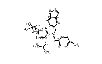 Cc1cnc(CN(Cc2ccc3occc3c2)C(=O)[C@H](CC(C)C)NC(=O)OC(C)(C)C)cn1